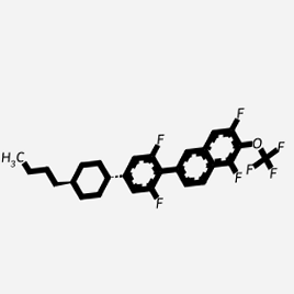 CCCC[C@H]1CC[C@H](c2cc(F)c(-c3ccc4c(F)c(OC(F)(F)F)c(F)cc4c3)c(F)c2)CC1